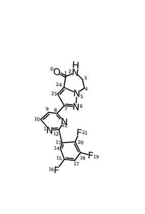 O=C1NCCn2nc(-c3ccnc(-c4cc(F)cc(F)c4F)n3)cc21